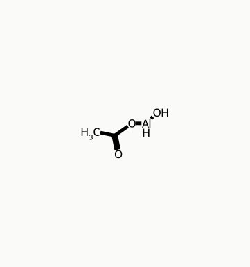 CC(=O)[O][AlH][OH]